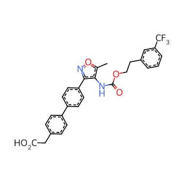 Cc1onc(-c2ccc(-c3ccc(CC(=O)O)cc3)cc2)c1NC(=O)OCCc1cccc(C(F)(F)F)c1